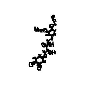 C#CCOc1ccc(CCNC(=O)[C@@H](O)COc2ccc(Cl)c(Cl)c2)cc1OC